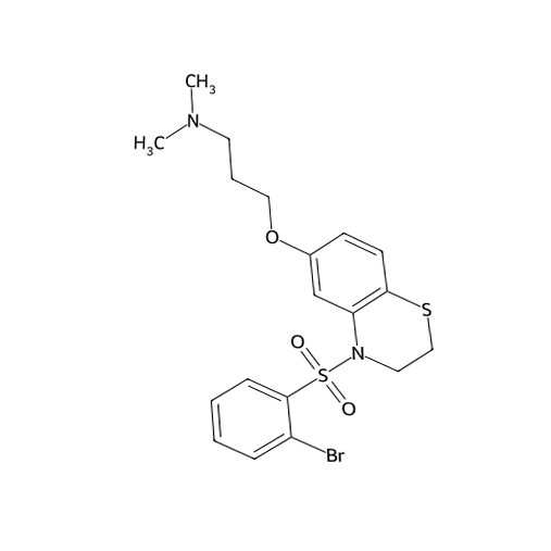 CN(C)CCCOc1ccc2c(c1)N(S(=O)(=O)c1ccccc1Br)CCS2